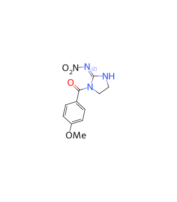 COc1ccc(C(=O)N2CCN/C2=N/[N+](=O)[O-])cc1